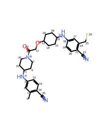 Cc1cc(NC2CCN(C(=O)COC3CCC(Nc4ccc(C#N)c(CF)c4)CC3)CC2)ccc1C#N